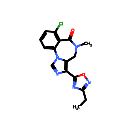 CCc1noc(-c2ncn3c2CN(C)C(=O)c2c(Cl)cccc2-3)n1